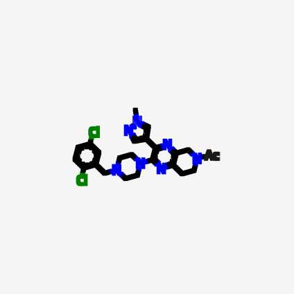 CC(=O)N1CCc2nc(N3CCN(Cc4cc(Cl)ccc4Cl)CC3)c(-c3cnn(C)c3)nc2C1